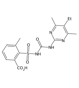 CCc1c(C)nc(NC(=O)NS(=O)(=O)c2c(C)cccc2C(=O)O)nc1C